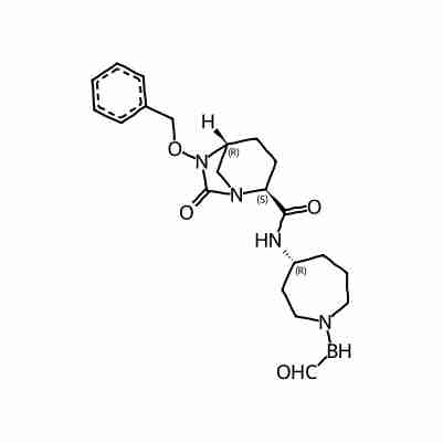 O=CBN1CCC[C@@H](NC(=O)[C@@H]2CC[C@@H]3CN2C(=O)N3OCc2ccccc2)CC1